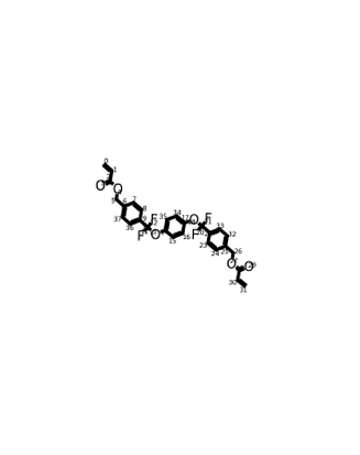 C=CC(=O)OCc1ccc(C(F)(F)Oc2ccc(OC(F)(F)c3ccc(COC(=O)C=C)cc3)cc2)cc1